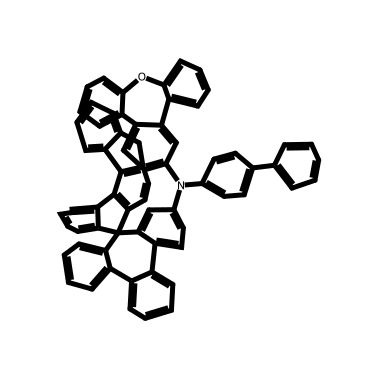 c1ccc(-c2ccc(N(c3ccc4c(c3)-c3ccccc3Oc3ccccc3-4)c3ccc4c(c3)C3(c5ccccc5-c5ccccc5-4)c4ccccc4-c4c3ccc3c4-c4ccccc4C3)cc2)cc1